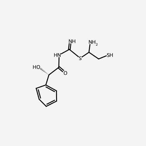 N=C(NC(=O)[C@@H](O)c1ccccc1)SC(N)CS